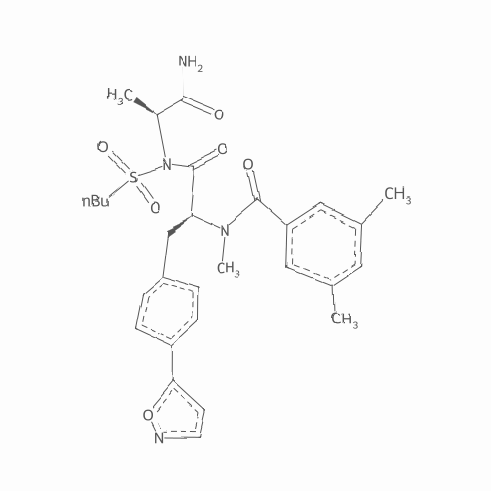 CCCCS(=O)(=O)N(C(=O)[C@H](Cc1ccc(-c2ccno2)cc1)N(C)C(=O)c1cc(C)cc(C)c1)[C@@H](C)C(N)=O